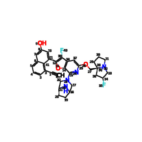 C#Cc1cccc2cc(O)cc(-c3oc4c(N5CC6CCC(C5)N6)nc(OC[C@@]56CCCN5CC(F)C6)cc4c3F)c12